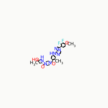 COc1ccc(-c2cnc3c(Nc4ccc(C(=O)N5CCN(C(=O)[C@@H]6C[C@@](C)(O)CN6)CC5)c(C)c4)nccn23)c(F)c1F